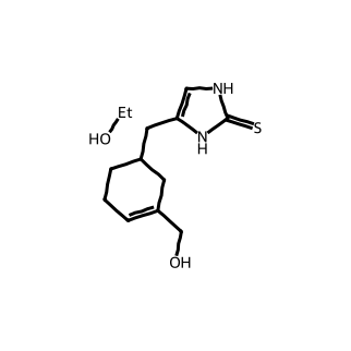 CCO.OCC1=CCCC(Cc2c[nH]c(=S)[nH]2)C1